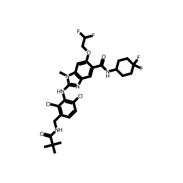 Cn1c(Nc2c(Cl)ccc(CNC(=O)C(C)(C)C)c2Cl)nc2cc(C(=O)NC3CCC(F)(F)CC3)c(OCC(F)F)cc21